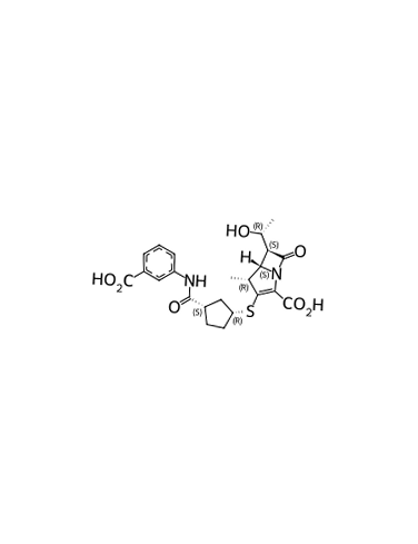 C[C@@H](O)[C@H]1C(=O)N2C(C(=O)O)=C(S[C@@H]3CC[C@H](C(=O)Nc4cccc(C(=O)O)c4)C3)[C@H](C)[C@H]12